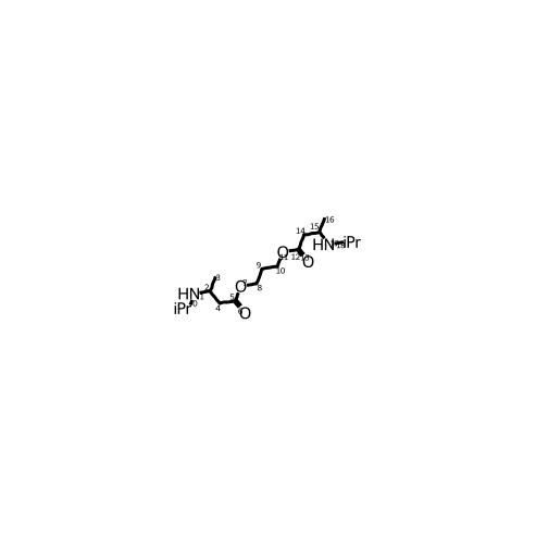 CC(C)NC(C)CC(=O)OCCCOC(=O)CC(C)NC(C)C